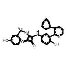 C[C@@H](Nc1c(Nc2ccc(O)c(-c3ncccc3-c3ccccc3)c2)c(=O)c1=O)c1cccc(O)c1